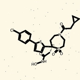 O=C(C[C@]1(c2ccc(-c3ccc(Cl)cc3)s2)CCN(C(=O)CC2CC2)CCS1(=O)=O)NO